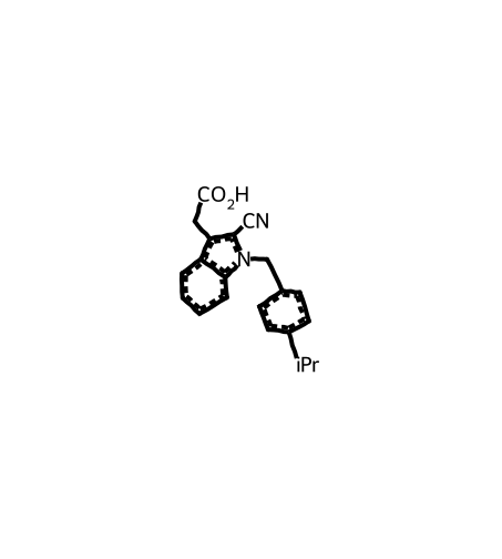 CC(C)c1ccc(Cn2c(C#N)c(CC(=O)O)c3ccccc32)cc1